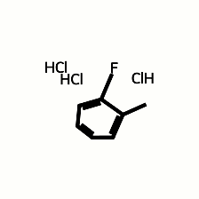 Cc1ccccc1F.Cl.Cl.Cl